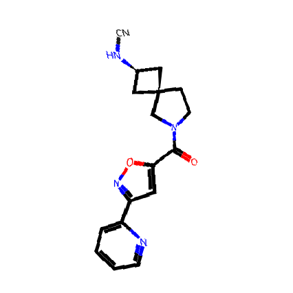 N#CN[C@H]1C[C@]2(CCN(C(=O)c3cc(-c4ccccn4)no3)C2)C1